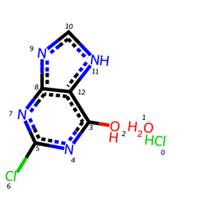 Cl.O.Oc1nc(Cl)nc2nc[nH]c12